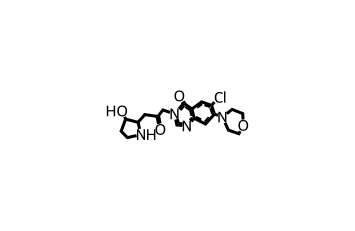 O=C(CC1NCCC1O)Cn1cnc2cc(N3CCOCC3)c(Cl)cc2c1=O